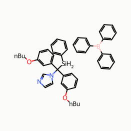 CCCCOc1cccc(C([SiH2]c2ccccc2)(c2cccc(OCCCC)c2)n2ccnc2)c1.c1ccc(B(c2ccccc2)c2ccccc2)cc1